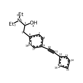 CCN(CC)C(O)Cc1ccc(C#Cc2cccs2)cn1